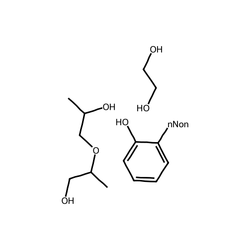 CC(O)COC(C)CO.CCCCCCCCCc1ccccc1O.OCCO